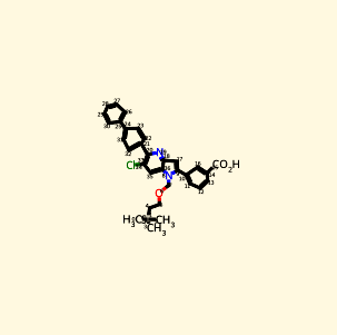 C[Si](C)(C)CCOCn1c(-c2cccc(C(=O)O)c2)cc2nc(-c3ccc(-c4ccccc4)cc3)c(Cl)cc21